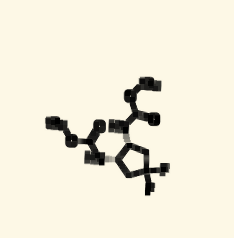 CC(C)(C)OC(=O)N[C@H]1CC(F)(F)C[C@H]1NC(=O)OC(C)(C)C